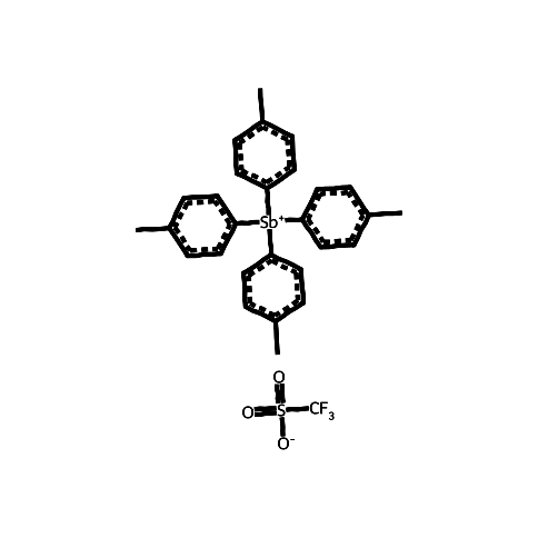 Cc1cc[c]([Sb+]([c]2ccc(C)cc2)([c]2ccc(C)cc2)[c]2ccc(C)cc2)cc1.O=S(=O)([O-])C(F)(F)F